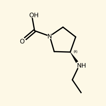 CCN[C@@H]1CCN(C(=O)O)C1